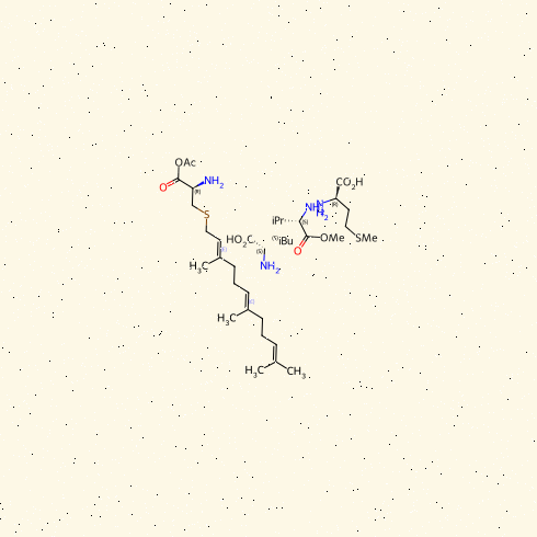 CC(=O)OC(=O)[C@@H](N)CSC/C=C(\C)CC/C=C(\C)CCC=C(C)C.CC[C@H](C)[C@H](N)C(=O)O.COC(=O)[C@@H](N)C(C)C.CSCC[C@@H](N)C(=O)O